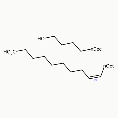 CCCCCCCC/C=C\CCCCCCCC(=O)O.CCCCCCCCCCCCCCO